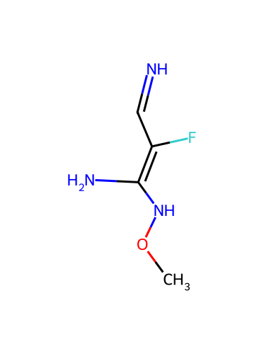 CON/C(N)=C(\F)C=N